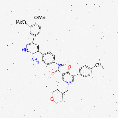 COc1ccc(C2=CNC(N)C(c3ccc(NC(=O)c4cn(CC5CCOCC5)cc(-c5ccc(C)cc5)c4=O)cc3)=C2)cc1OC